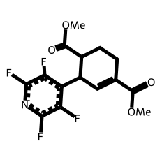 COC(=O)C1=CC(c2c(F)c(F)nc(F)c2F)C(C(=O)OC)CC1